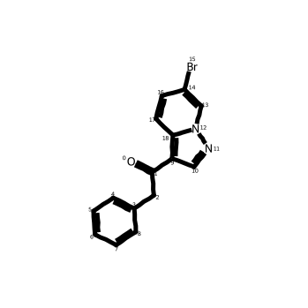 O=C(Cc1ccccc1)c1cnn2cc(Br)ccc12